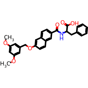 COc1cc(COc2ccc3cc(C(=O)NC(Cc4ccccc4)C(=O)O)ccc3c2)cc(OC)c1